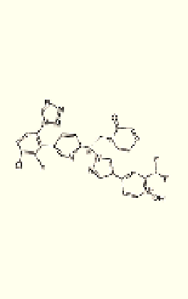 O=c1ccccn1C[C@@H](c1ccc(-c2c(-n3cnnn3)ccc(Cl)c2F)cn1)n1cc(-c2cc[n+](O)c(C(F)F)c2)cn1